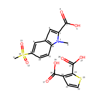 Cn1c(C(=O)O)cc2cc(S(C)(=O)=O)ccc21.O=C(O)c1ccsc1C(=O)O